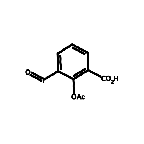 CC(=O)Oc1c(I=O)cccc1C(=O)O